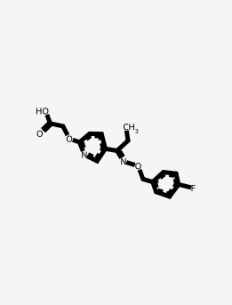 CC/C(=N\OCc1ccc(F)cc1)c1ccc(OCC(=O)O)nc1